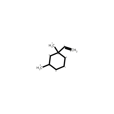 C=CC1(C)CCCC(C)C1